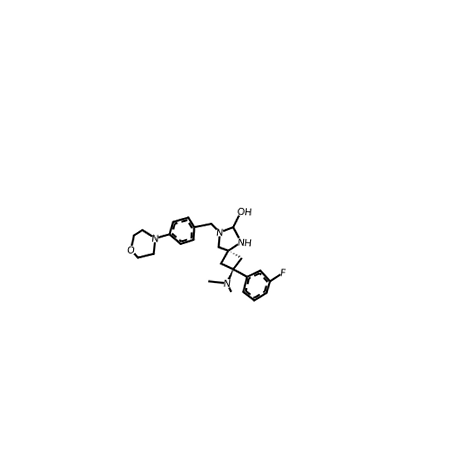 CN(C)[C@]1(c2cccc(F)c2)C[C@@]2(CN(Cc3ccc(N4CCOCC4)cc3)C(O)N2)C1